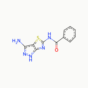 Nc1n[nH]c2nc(NC(=O)c3ccccc3)sc12